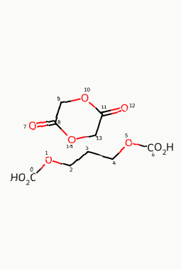 O=C(O)OCCCOC(=O)O.O=C1COC(=O)CO1